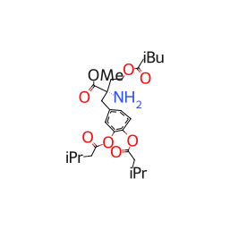 CCC(C)C(=O)OCC[C@@](N)(Cc1ccc(OC(=O)CC(C)C)c(OC(=O)CC(C)C)c1)C(=O)OC